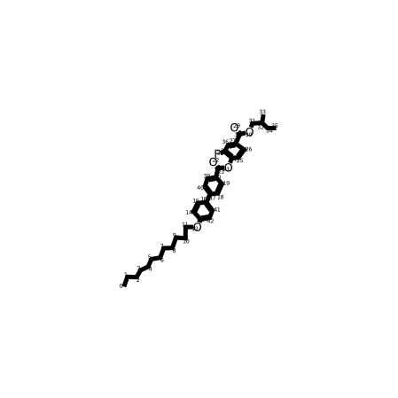 CCCCCCCCCCCCOc1ccc(-c2ccc(C(=O)Oc3ccc(C(=O)OCC(C)CC)cc3F)cc2)cc1